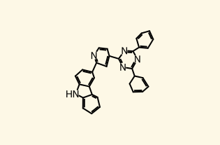 C1=CCC(c2nc(-c3ccccc3)nc(-c3ccnc(-c4ccc5[nH]c6ccccc6c5c4)c3)n2)C=C1